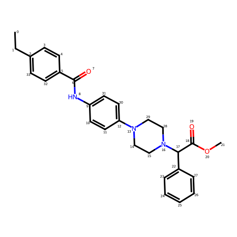 CCc1ccc(C(=O)Nc2ccc(N3CCN(C(C(=O)OC)c4ccccc4)CC3)cc2)cc1